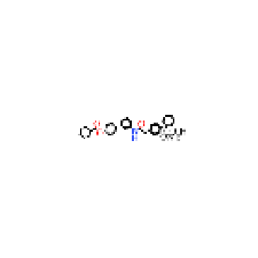 COc1cc(CC(=O)Nc2cccc([C@H]3CC[C@@H](OC(=O)C4CCCCC4)CC3)c2)ccc1C1(C(=O)O)CCCCC1